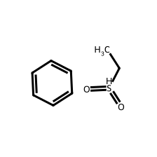 CC[SH](=O)=O.c1ccccc1